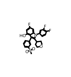 CS(=O)(=O)c1cccc(-c2c(C3CCOCC3)n(-c3ccc(F)c(F)c3)c3cc(F)cc(O)c23)c1